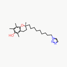 Cc1c(C)c2c(c(C)c1O)CC[C@@](C)(CCCCCCCCCn1ccnn1)O2